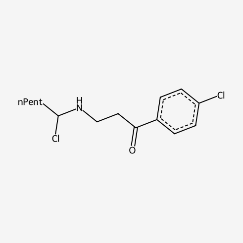 CCCCCC(Cl)NCCC(=O)c1ccc(Cl)cc1